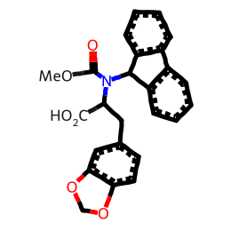 COC(=O)N(C(Cc1ccc2c(c1)OCO2)C(=O)O)C1c2ccccc2-c2ccccc21